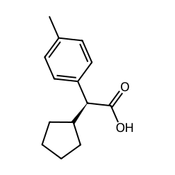 Cc1ccc([C@@H](C(=O)O)C2CCCC2)cc1